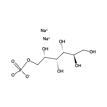 O=P([O-])([O-])OC[C@H](O)[C@@H](O)[C@H](O)[C@H](O)CO.[Na+].[Na+]